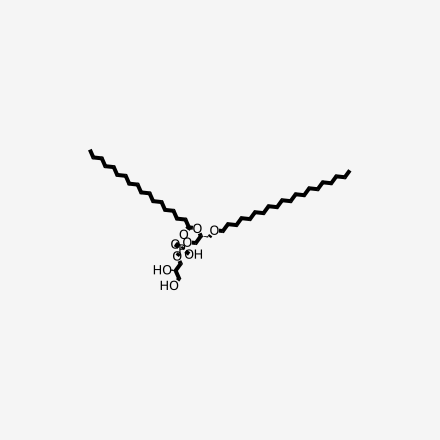 CCCCCCCCCCCCCCCCCCCCOC[C@H](COP(=O)(O)OC[C@@H](O)CO)OC(=O)CCCCCCCCCCCCCCCCC